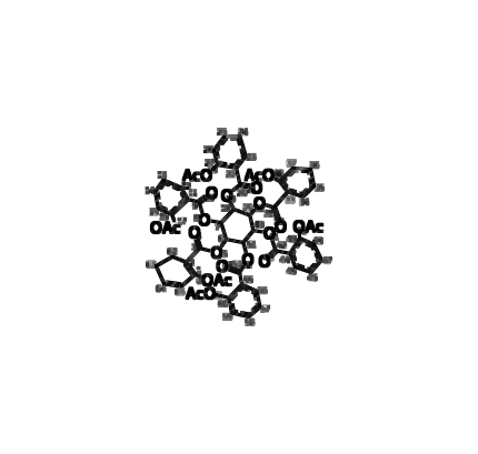 CC(=O)OC1=C(C(=O)OC2C(OC(=O)c3ccccc3OC(C)=O)C(OC(=O)c3ccccc3OC(C)=O)C(OC(=O)c3ccccc3OC(C)=O)C(OC(=O)c3ccccc3OC(C)=O)C2OC(=O)c2ccccc2OC(C)=O)CCC=C1